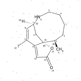 C[C@@H]1CCCCN[C@@H]2C=C(I)C3=CC(=O)O[C@@]31C2